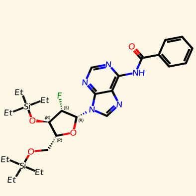 CC[Si](CC)(CC)OC[C@H]1O[C@@H](n2cnc3c(NC(=O)c4ccccc4)ncnc32)[C@@H](F)[C@@H]1O[Si](CC)(CC)CC